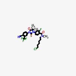 CN(CCCCCCCl)C(=O)c1ccc(N2C(=S)N(c3ccc(C#N)c(C(F)(F)F)c3)C(=O)C2(C)C)cc1F